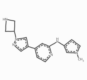 Cn1ccc(Nc2cc(-c3cnn(C4CNC4)c3)ccn2)c1